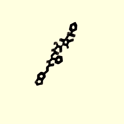 CC(C)[C@H](NC(=O)C[C@H](NC(=O)/C=C/c1ccc2c(c1)OCO2)c1ccccc1)C(=O)[C@@H]1C(=O)N(NC(=O)c2ccccc2)C(=O)[C@H]1C